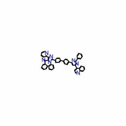 c1ccc(-c2nc(-c3ccc(-c4ccc(-c5nc6c7ncccc7nc(-c7ccccc7)c6n5-c5ccccc5)cc4)cc3)cc(-c3ccnc4ccccc34)n2)cc1